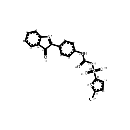 O=C(Nc1ccc(C2=Nc3ccccc3C2=O)cc1)NS(=O)(=O)c1ccc(Cl)s1